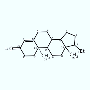 CCC1CCC2C3CCC4=CC(=O)CC[C@]4(C)C3CCC12C